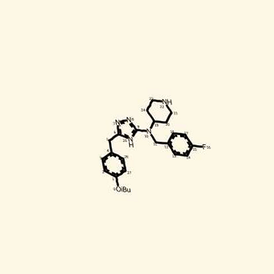 CC(C)COc1ccc(Cc2nnc(N(Cc3ccc(F)cc3)C3CCNCC3)[nH]2)cc1